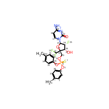 Cc1ccc(OP(=S)(OC[C@@]2(C(F)F)O[C@@H](n3ccc(N)nc3=O)[C@H](F)[C@@H]2O)Oc2ccc(C)cc2)cc1